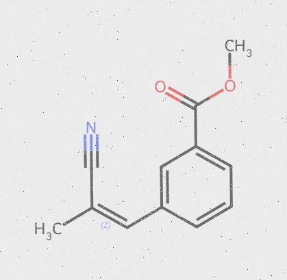 COC(=O)c1cccc(/C=C(/C)C#N)c1